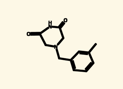 Cc1cccc(CN2CC(=O)NC(=O)C2)c1